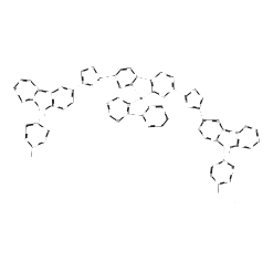 Cc1ccc(-n2c3ccccc3c3cc(-c4ccc(-c5ccc6c(c5)C5(c7ccccc7-c7ccccc75)c5cc(-c7ccc(-c8ccc9c(c8)c8ccccc8n9-c8ccc(C)cc8)s7)ccc5-6)s4)ccc32)cc1